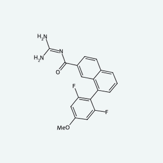 COc1cc(F)c(-c2cccc3ccc(C(=O)N=C(N)N)cc23)c(F)c1